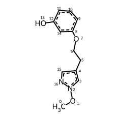 COn1cc(CCOc2c[c]cc(O)c2)cn1